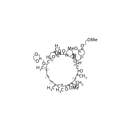 COCCO[C@@H]1CC[C@@H](CC2[C@H]3CCCN4C(=O)C(=O)[C@]5(O)O[C@@H](CC[C@H]5C)CC(OC[C@H]5COCCO5)/C(C)=C/C=C/C=C/[C@@H](C)C[C@@H](C)C(=O)[C@H](OC)[C@H](O)/C(C)=C/[C@@H](C)C(=O)C[C@@H]2OC(=O)C34)C[C@H]1OC